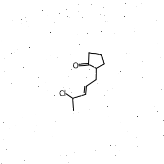 CC(Cl)C=CCC1CCCC1=O